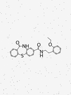 CCOc1ccccc1CCNC(=O)c1ccc2c(c1)NC(=O)c1ccccc1S2